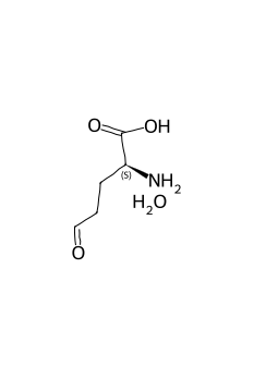 N[C@@H](CCC=O)C(=O)O.O